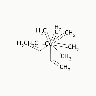 C=[CH][Co](=[CH2])(=[CH2])(=[CH2])(=[CH2])(=[CH2])([CH3])[CH]=C